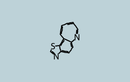 C1=CC=Nc2ccc3ncsc3c2C=C1